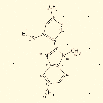 CCSc1cc(C(F)(F)F)ccc1-c1nc2cc(C)ccc2n1C